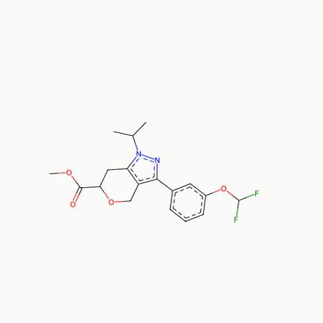 COC(=O)C1Cc2c(c(-c3cccc(OC(F)F)c3)nn2C(C)C)CO1